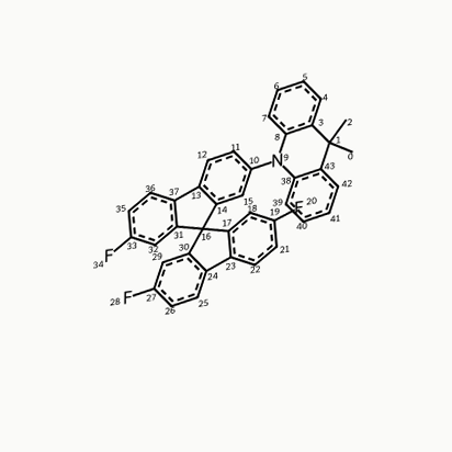 CC1(C)c2ccccc2N(c2ccc3c(c2)C2(c4cc(F)ccc4-c4ccc(F)cc42)c2cc(F)ccc2-3)c2ccccc21